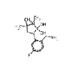 CN1C(C)(C)CN(c2cc(F)ccc2CN)S1(O)O